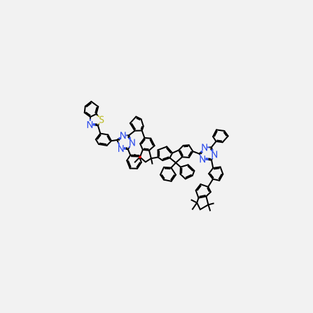 CC1(C)CC(C)(C)c2cc(-c3cccc(-c4nc(-c5ccccc5)nc(-c5ccc6c(c5)C(c5ccccc5)(c5ccccc5)c5cc(C7(C)CC(C)(C)c8cc(-c9ccccc9-c9nc(-c%10ccccc%10)nc(-c%10cccc(-c%11nc%12ccccc%12s%11)c%10)n9)ccc87)ccc5-6)n4)c3)ccc21